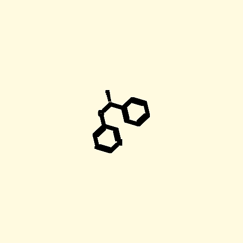 C[C@@H](Oc1c[c]cnc1)c1ccccc1